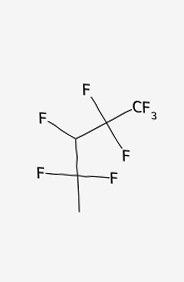 CC(F)(F)C(F)C(F)(F)C(F)(F)F